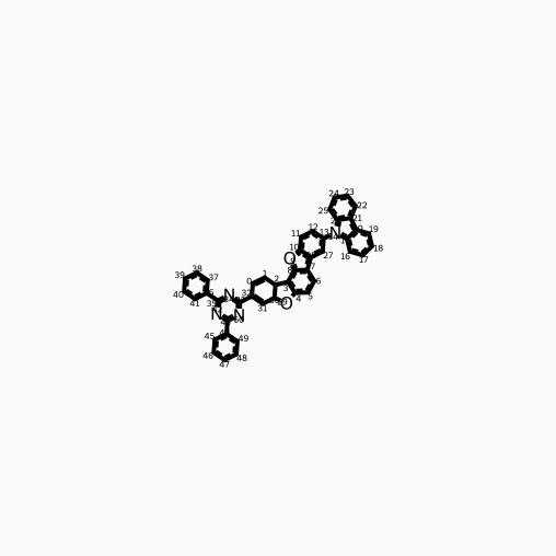 C1=CC2c3c(ccc4c3oc3ccc(-n5c6ccccc6c6ccccc65)cc34)OC2C=C1c1nc(-c2ccccc2)nc(-c2ccccc2)n1